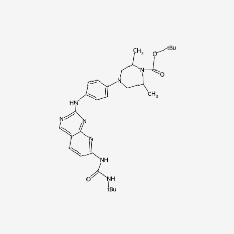 CC1CN(c2ccc(Nc3ncc4ccc(NC(=O)NC(C)(C)C)nc4n3)cc2)CC(C)N1C(=O)OC(C)(C)C